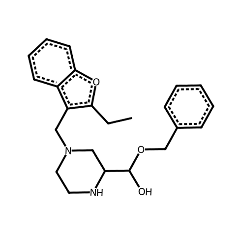 CCc1oc2ccccc2c1CN1CCNC(C(O)OCc2ccccc2)C1